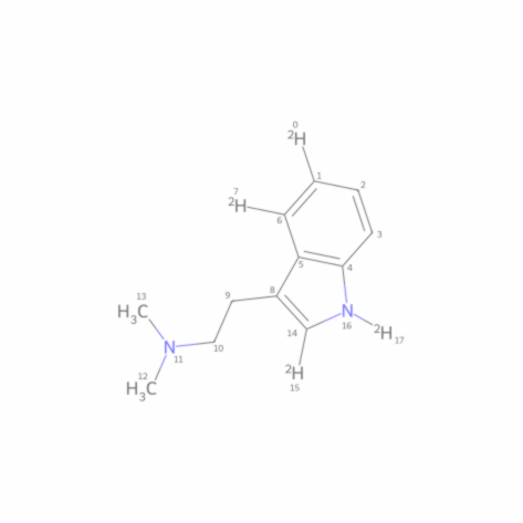 [2H]c1ccc2c(c1[2H])c(CCN(C)C)c([2H])n2[2H]